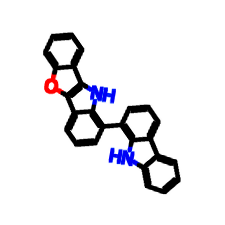 c1ccc2c(c1)[nH]c1c(-c3cccc4c3[nH]c3c5ccccc5oc43)cccc12